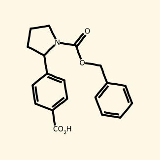 O=C(O)c1ccc(C2CCCN2C(=O)OCc2ccccc2)cc1